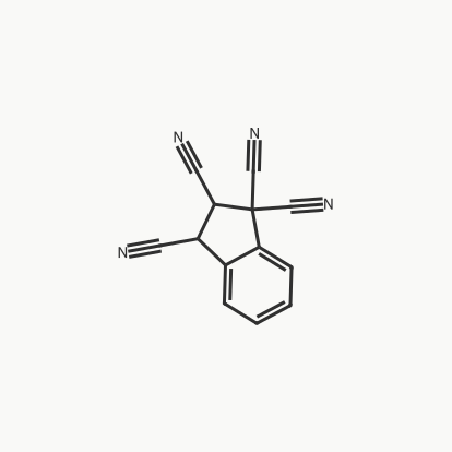 N#CC1c2ccccc2C(C#N)(C#N)C1C#N